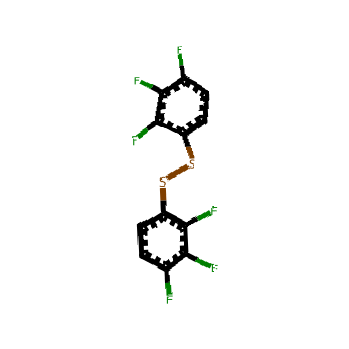 Fc1ccc(SSc2ccc(F)c(F)c2F)c(F)c1F